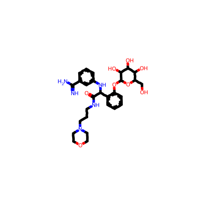 N=C(N)c1cccc(NC(C(=O)NCCCN2CCOCC2)c2ccccc2OC2OC(CO)C(O)C(O)C2O)c1